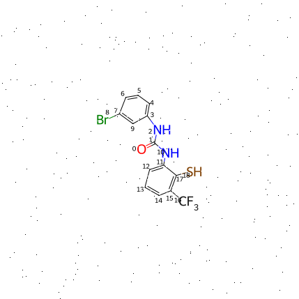 O=C(Nc1cccc(Br)c1)Nc1cccc(C(F)(F)F)c1S